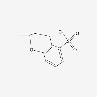 CC1CCc2c(cccc2S(=O)(=O)Cl)O1